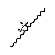 CCCCCCCCCCC(CC(N)CCCCCCCC)C(=O)[O-].[Na+]